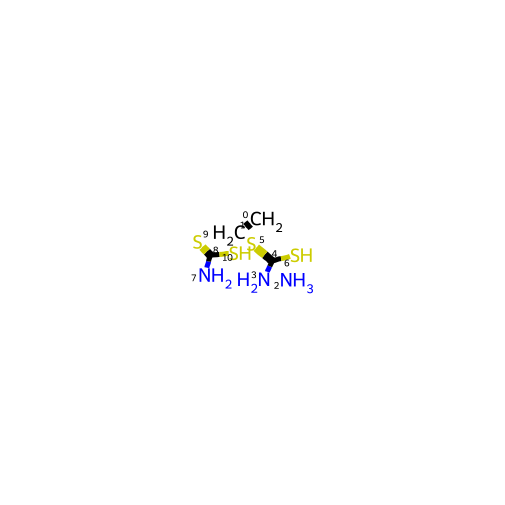 C=C.N.NC(=S)S.NC(=S)S